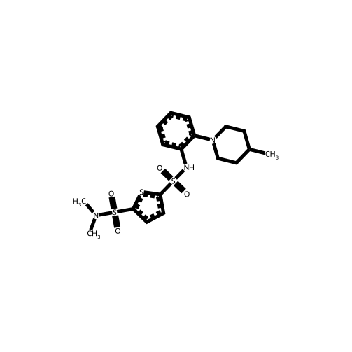 CC1CCN(c2ccccc2NS(=O)(=O)c2ccc(S(=O)(=O)N(C)C)s2)CC1